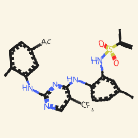 C=C(C)S(=O)(=O)Nc1cc(C)ccc1Nc1nc(Nc2cc(C(C)=O)ccc2C)ncc1C(F)(F)F